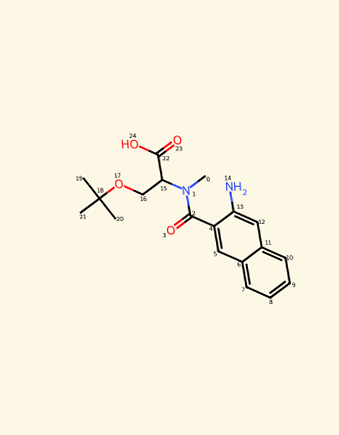 CN(C(=O)c1cc2ccccc2cc1N)C(COC(C)(C)C)C(=O)O